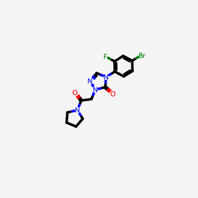 O=C(Cn1ncn(-c2ccc(Br)cc2F)c1=O)N1CCCC1